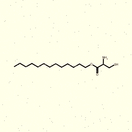 CCCCCCCCCCCCCOC(=O)C(N)CS